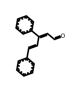 O=C/C=C(\C=C\c1ccccc1)c1ccccc1